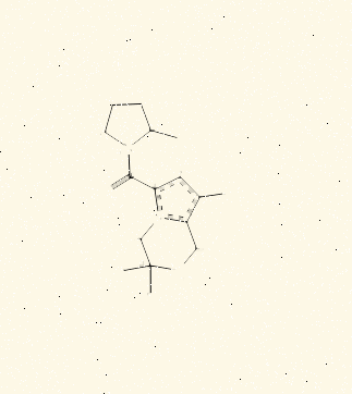 CC1CCCN1C(=O)c1cc(C(=O)O)c2n1CC(C)(C)OC2